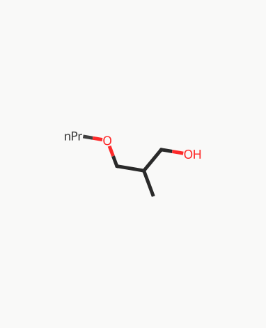 CCCOCC(C)CO